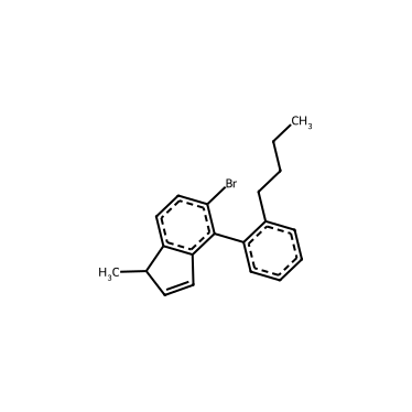 CCCCc1ccccc1-c1c(Br)ccc2c1C=CC2C